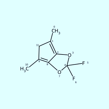 CC1=C2OC(F)(F)OC2=C(C)C1